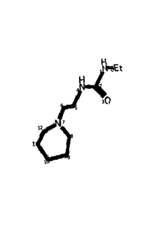 CCNC(=O)NCCN1CCCCC1